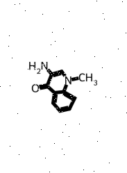 Cn1cc(N)c(=O)c2ccccc21